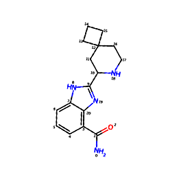 NC(=O)c1cccc2[nH]c(C3CC4(CCC4)CCN3)nc12